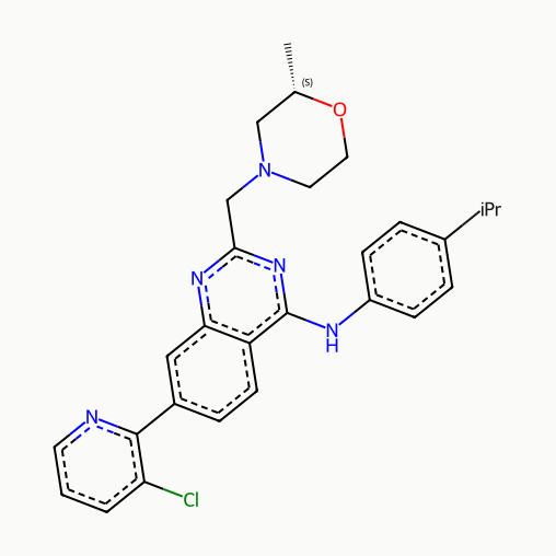 CC(C)c1ccc(Nc2nc(CN3CCO[C@@H](C)C3)nc3cc(-c4ncccc4Cl)ccc23)cc1